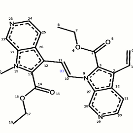 C=Cc1c(C(=O)OCC)n(/C=C/c2c(C(=O)OCC)n(C)c3cnccc23)c2cnccc12